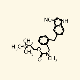 CN(Cc1ccccc1Cc1ccc2[nH]cc(C#N)c2c1)C(=O)OCC[Si](C)(C)C